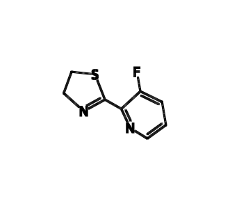 Fc1cccnc1C1=NCCS1